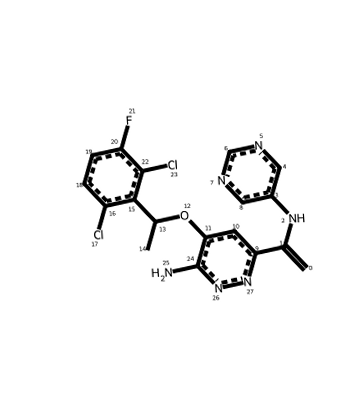 C=C(Nc1cncnc1)c1cc(OC(C)c2c(Cl)ccc(F)c2Cl)c(N)nn1